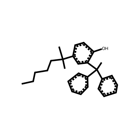 CCCCCC(C)(C)c1ccc(O)c(C(C)(c2ccccc2)c2ccccc2)c1